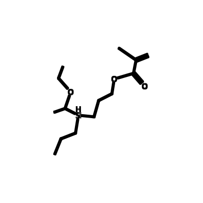 C=C(C)C(=O)OCCC[SiH](CCC)C(C)OCC